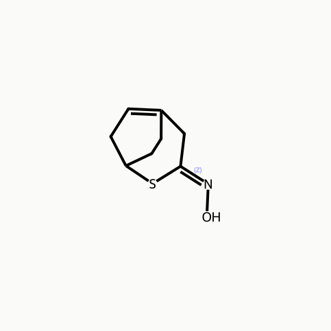 O/N=C1/CC2=CCC(CC2)S1